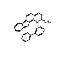 Nc1ccc2ccc3c4ccccc4cc3c2[nH]1.c1cc(-c2ccncc2)ccn1